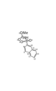 COC(=O)NS(=O)(=O)c1ccc2ccccc2c1